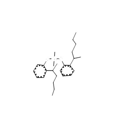 CCCCC(C)c1ccccc1[O][Sn]([CH3])([CH3])[O]c1ccccc1C(C)CCCC